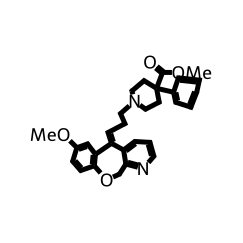 COC(=O)C1(c2ccccc2)CCN(CCC=C2c3cc(OC)ccc3OCc3ncccc32)CC1